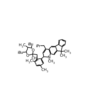 CCC(C)C1OC(C)(Cc2c(C)cc(C)cc2C2C=C(CC(C)C)c3cc4c(cc3N2C)C(C)(C)c2ccccc2-4)OC(C(C)CC)C1C